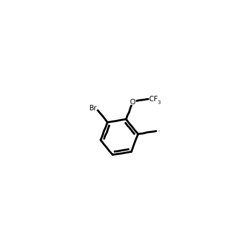 [CH2]c1cccc(Br)c1OC(F)(F)F